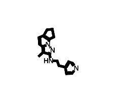 Cc1c(NCCc2ccncc2)nn2c3c(ccc12)CCC3